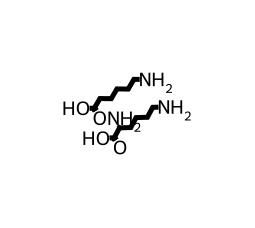 NCCCCCC(=O)O.NCCCC[C@H](N)C(=O)O